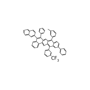 Cc1cccc(-c2c3ccc(-c4ccccc4)cc3c(-c3cccc(C(F)(F)F)c3)c3cc4c(cc23)c(-c2ccccc2)c(-c2ccc3ccccc3c2)c2ccccc24)c1